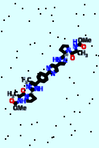 COC(=O)N[C@@H](C)C(=O)N1CCC[C@H]1c1ncc(-c2cnc(-c3ccc(-c4[nH]c([C@@H]5CCCN5C(=O)[C@H](C)NC(=O)OC)nc4C(F)(F)F)cc3)nc2)[nH]1